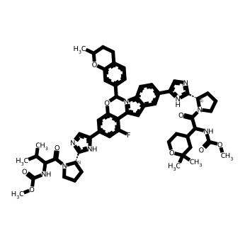 COC(=O)NC(C(=O)N1CCC[C@H]1c1ncc(-c2cc(F)c3c(c2)OC(c2ccc4c(c2)OC(C)CC4)n2c-3cc3cc(-c4cnc([C@@H]5CCCN5C(=O)C(NC(=O)OC)C5CCOC(C)(C)C5)[nH]4)ccc32)[nH]1)C(C)C